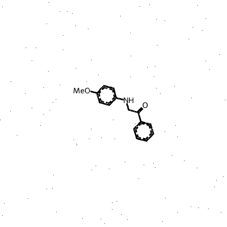 COc1ccc(NCC(=O)c2ccccc2)cc1